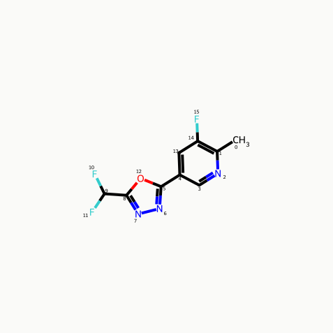 Cc1ncc(-c2nnc(C(F)F)o2)cc1F